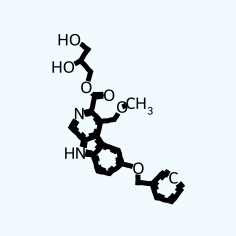 COCc1c(C(=O)OCC(O)CO)ncc2[nH]c3ccc(OCc4ccccc4)cc3c12